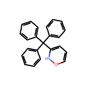 C1=CONC(C(c2ccccc2)(c2ccccc2)c2ccccc2)=C1